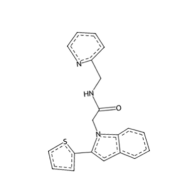 O=C(Cn1c(-c2cccs2)cc2ccccc21)NCc1ccccn1